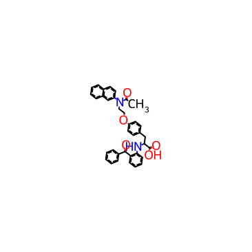 CC(=O)N(CCOc1ccc(CC(Nc2ccccc2C(=O)c2ccccc2)C(=O)O)cc1)c1ccc2ccccc2c1